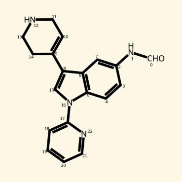 O=CNc1ccc2c(c1)c(C1=CCNCC1)cn2-c1ccccn1